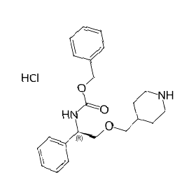 Cl.O=C(N[C@@H](COCC1CCNCC1)c1ccccc1)OCc1ccccc1